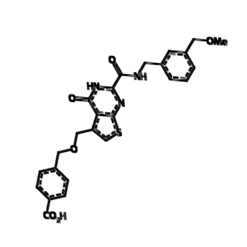 COCc1cccc(CNC(=O)c2nc3scc(COCc4ccc(C(=O)O)cc4)c3c(=O)[nH]2)c1